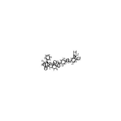 CC[C@H](N[C@@H](Cc1ccc2c(c1)OC[C@H](c1ccc(OCc3ccc(Cl)c(N)c3)cc1)O2)C(=O)OC)c1ccccc1